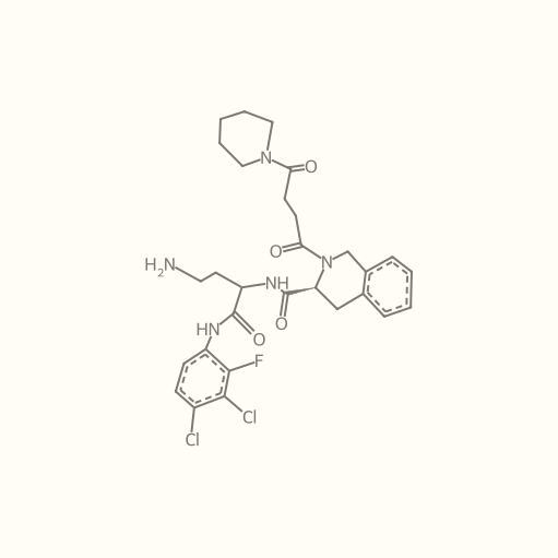 NCCC(NC(=O)[C@@H]1Cc2ccccc2CN1C(=O)CCC(=O)N1CCCCC1)C(=O)Nc1ccc(Cl)c(Cl)c1F